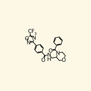 O=C(NCC1COCCN1C(=O)c1ccccc1)c1ccc(-c2noc(C(F)(F)F)n2)cc1